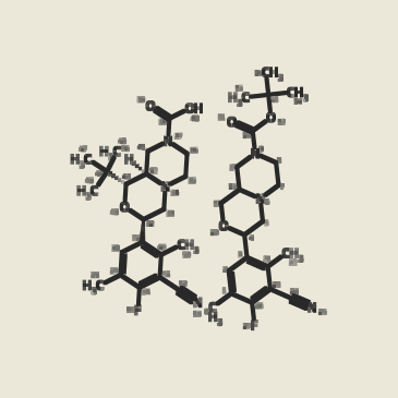 Cc1cc(C2CN3CCN(C(=O)OC(C)(C)C)CC3CO2)c(C)c(C#N)c1F.Cc1cc([C@@H]2CN3CCN(C(=O)O)C[C@@H]3[C@@H](C(C)(C)C)O2)c(C)c(C#N)c1F